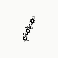 C[C@H]1CCCN(C(=O)Cc2ccc(NC(=O)OCc3ccc(Cl)cc3)cc2)C1